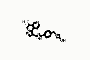 CC1Cn2ncc(-c3nc(-c4ccc(CN5CC(O)C5)cc4)no3)c2-c2ccncc21